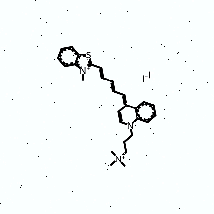 C[n+]1c(C=CC=CC=C2C=CN(CCC[N+](C)(C)C)c3ccccc32)sc2ccccc21.[I-].[I-]